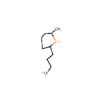 CCCCC1CCCC(C)P1